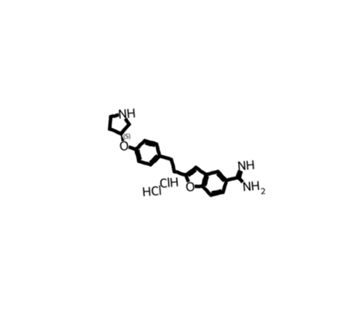 Cl.Cl.N=C(N)c1ccc2oc(CCc3ccc(O[C@H]4CCNC4)cc3)cc2c1